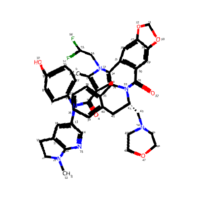 Cc1c(C(=O)N(c2ccc(O)cc2)c2cnc3c(c2)CCN3C)cc(-c2cc3c(cc2C(=O)N2Cc4ccccc4C[C@H]2CN2CCOCC2)OCO3)n1CC(F)F